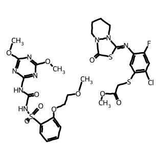 COC(=O)CSc1cc(/N=c2\sc(=O)n3n2CCCC3)c(F)cc1Cl.COCCOc1ccccc1S(=O)(=O)NC(=O)Nc1nc(OC)nc(OC)n1